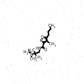 CCCCc1onc(C(=O)NCC(C)(C)N(C)C)c1C